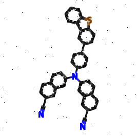 N#Cc1ccc2ccc(N(c3ccc(-c4ccc5sc6ccccc6c5c4)cc3)c3ccc4ccc(C#N)cc4c3)cc2c1